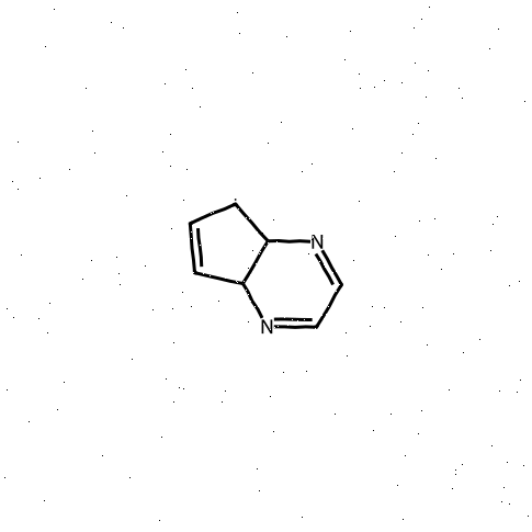 [CH]1C=CC2N=CC=NC12